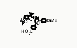 COc1ccc([C@@H]2C[C@H](NC(=O)C3(c4ccc5c(c4)OC(F)(F)O5)CC3)C[C@H](c3ccc(C(=O)O)cc3)O2)cc1